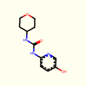 O=C(Nc1ccc(O)cn1)NC1CCOCC1